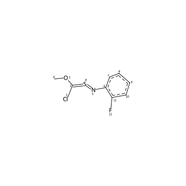 COC(Cl)=S=Nc1ccccc1F